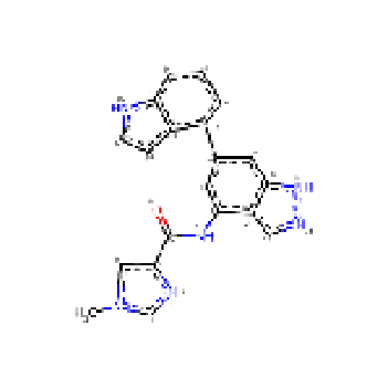 Cn1cnc(C(=O)Nc2cc(-c3cccc4[nH]ccc34)cc3[nH]ncc23)c1